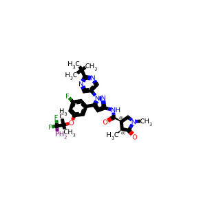 C[C@H]1C(=O)N(C)C[C@@H]1C(=O)Nc1cc(-c2cc(F)cc(OC(C)(C)C(F)(F)P)c2)n(-c2cnc(C(C)(C)C)nc2)n1